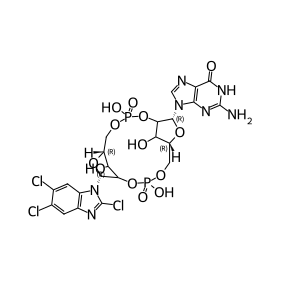 Nc1nc2c(ncn2[C@@H]2O[C@@H]3COP(=O)(O)OC4C(O)[C@@H](COP(=O)(O)OC2C3O)O[C@H]4n2c(Cl)nc3cc(Cl)c(Cl)cc32)c(=O)[nH]1